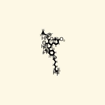 COc1ccc(C2=C(C(=O)N[S+]([O-])C3CC3)C(=O)N[C@@](c3ccc(OCCCCCC(F)(F)F)cc3)(C(F)(F)F)C2)cn1